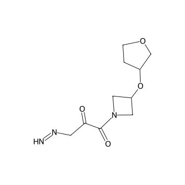 N=NCC(=O)C(=O)N1CC(OC2CCOC2)C1